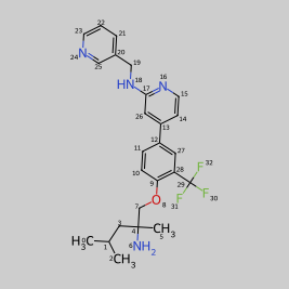 CC(C)CC(C)(N)COc1ccc(-c2ccnc(NCc3cccnc3)c2)cc1C(F)(F)F